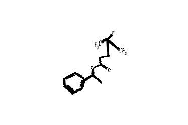 CC(OC(=O)CCC(F)(C(F)(F)F)C(F)(F)F)c1ccccc1